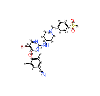 Cc1cc(C#N)cc(C)c1Oc1nc(NC2CCN(Cc3ccc(S(C)(=O)=O)cc3)CC2)ncc1Br